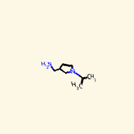 CC(C)N1C=CC(CN)C1